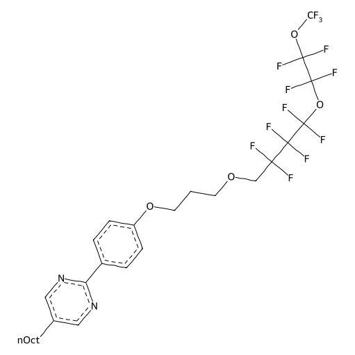 CCCCCCCCc1cnc(-c2ccc(OCCCOCC(F)(F)C(F)(F)C(F)(F)OC(F)(F)C(F)(F)OC(F)(F)F)cc2)nc1